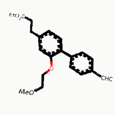 CCOC(=O)CCc1ccc(-c2ccc(C=O)cc2)c(OCCOC)c1